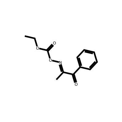 CCOC(=O)ON=C(C)C(=O)c1ccccc1